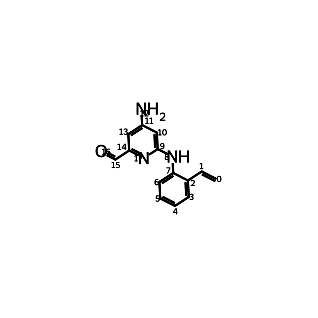 C=Cc1ccccc1Nc1cc(N)cc(C=O)n1